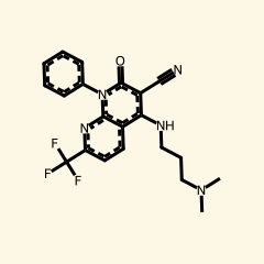 CN(C)CCCNc1c(C#N)c(=O)n(-c2ccccc2)c2nc(C(F)(F)F)ccc12